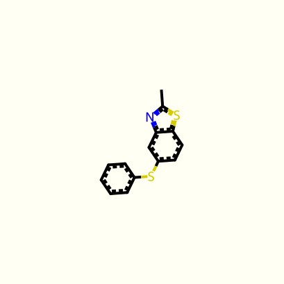 Cc1nc2cc(Sc3ccccc3)ccc2s1